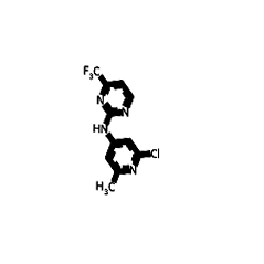 Cc1cc(Nc2nccc(C(F)(F)F)n2)cc(Cl)n1